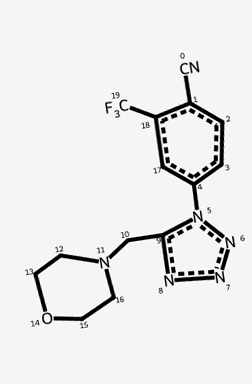 N#Cc1ccc(-n2nnnc2CN2CCOCC2)cc1C(F)(F)F